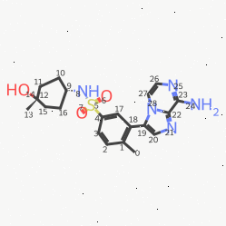 Cc1ccc(S(=O)(=O)N[C@H]2CC[C@@](C)(O)CC2)cc1-c1cnc2c(N)nccn12